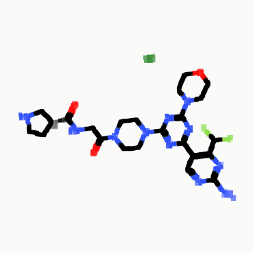 Cl.Nc1ncc(-c2nc(N3CCOCC3)nc(N3CCN(C(=O)CNC(=O)[C@@H]4CCNC4)CC3)n2)c(C(F)F)n1